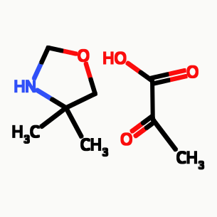 CC(=O)C(=O)O.CC1(C)COCN1